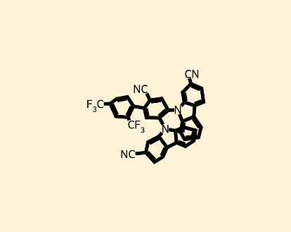 N#Cc1ccc2c3ccccc3n(-c3cc(C#N)c(-c4ccc(C(F)(F)F)cc4C(F)(F)F)cc3-n3c4ccccc4c4ccc(C#N)cc43)c2c1